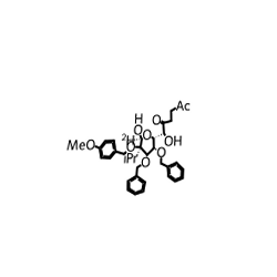 [2H][C@]1(O)O[C@H](C(O)C(=O)CCC(C)=O)[C@H](OCc2ccccc2)[C@H](OCc2ccccc2)[C@]1(OCc1ccc(OC)cc1)C(C)C